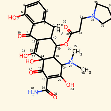 CC1c2cccc(O)c2C(=O)C2=C(O)C3(O)C(=O)C(C(N)=O)=C(O)C(N(C)C)C3C(OC(=O)CCN3CCCC3)C21